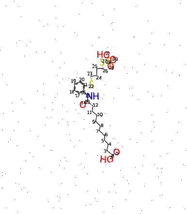 O=C(O)CCCCCCCCCCC(=O)Nc1ccccc1SCCCCSS(=O)(=O)O